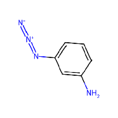 [N-]=[N+]=Nc1cccc(N)c1